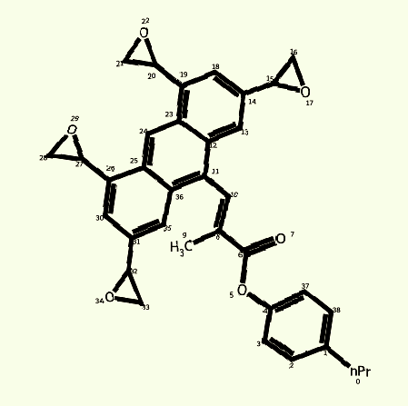 CCCc1ccc(OC(=O)/C(C)=C/c2c3cc(C4CO4)cc(C4CO4)c3cc3c(C4CO4)cc(C4CO4)cc23)cc1